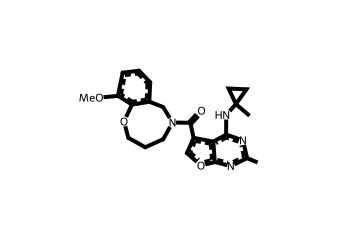 COc1cccc2c1OCCCN(C(=O)c1coc3nc(C)nc(NC4(C)CC4)c13)C2